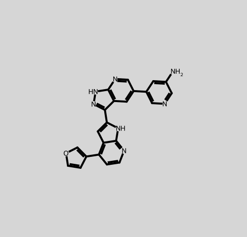 Nc1cncc(-c2cnc3[nH]nc(-c4cc5c(-c6ccoc6)ccnc5[nH]4)c3c2)c1